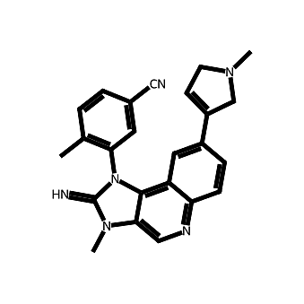 Cc1ccc(C#N)cc1-n1c(=N)n(C)c2cnc3ccc(C4=CCN(C)C4)cc3c21